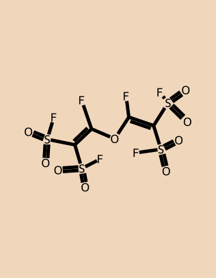 O=S(=O)(F)C(=C(F)OC(F)=C(S(=O)(=O)F)S(=O)(=O)F)S(=O)(=O)F